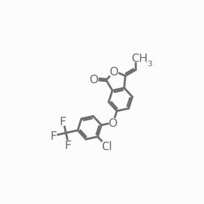 CC=C1OC(=O)c2cc(Oc3ccc(C(F)(F)F)cc3Cl)ccc21